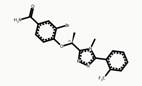 C[C@H](Oc1ccc(C(N)=O)cc1Br)c1nnc(-c2ccccc2C(F)(F)F)n1C